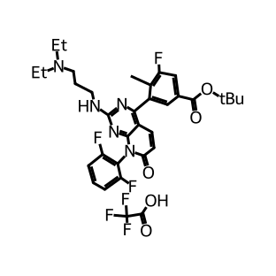 CCN(CC)CCCNc1nc(-c2cc(C(=O)OC(C)(C)C)cc(F)c2C)c2ccc(=O)n(-c3c(F)cccc3F)c2n1.O=C(O)C(F)(F)F